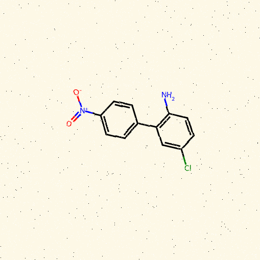 Nc1ccc(Cl)cc1-c1ccc([N+](=O)[O-])cc1